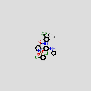 Cc1ccc(NC(=O)[C@H]2CCCN(S(=O)(=O)c3c(Cl)cccc3Cl)[C@H]2c2ccc(NC3CCCC3)cc2)cc1C(F)(F)F